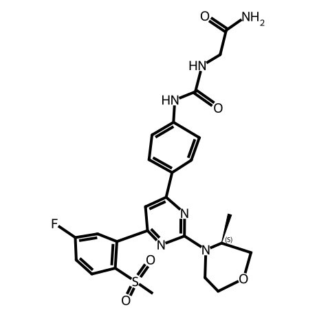 C[C@H]1COCCN1c1nc(-c2ccc(NC(=O)NCC(N)=O)cc2)cc(-c2cc(F)ccc2S(C)(=O)=O)n1